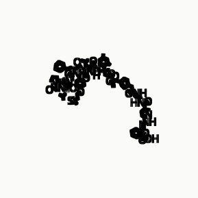 C=C(OC(=O)CC(C)(C)c1c(C)cc(C)cc1NC(=O)[C@H](CC(C)C)NC(=O)[C@H](Cc1ccc(OCC[Si](C)(C)C)cc1)NC(=O)[C@H](CCc1ccccc1)NC(=O)CNC(=O)[C@H](CC(C)C)NC(=O)[C@@H]1CCCN1C(C)=O)C(=O)c1ccc(CC(=O)NCCNC(=O)c2ccc(NN=Cc3ccccc3S(=O)(=O)O)nc2)cc1